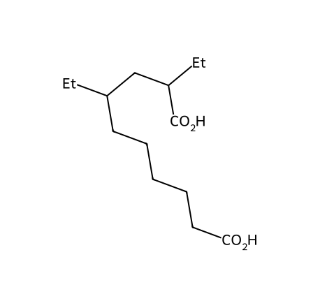 CCC(CCCCCC(=O)O)CC(CC)C(=O)O